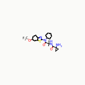 CC(C)(NC(=O)C1(N)CC1)C(=O)N(c1ccccc1)c1nc2ccc(OC(F)(F)F)cc2s1